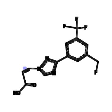 O=C(O)/C=C\n1cnc(-c2cc(CF)cc(C(F)(F)F)c2)n1